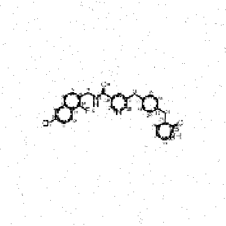 O=C(NCc1ccc2cc(Cl)ccc2c1F)c1cncc(Cc2ccc(Cc3ccc[nH]c3=O)cc2)c1